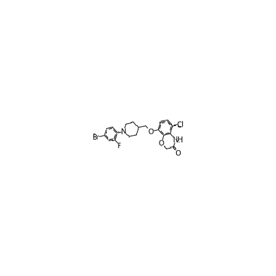 O=C1COc2c(OCC3CCN(c4ccc(Br)cc4F)CC3)ccc(Cl)c2N1